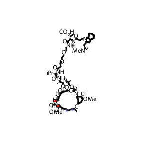 CNN(C)Cc1cc2ccccc2n1CCC(=O)N[C@@H](CCC(=O)O)C(=O)NCCOCCOCCC(=O)N[C@H](C(=O)N[C@@H](C)C(=O)N(C)[C@@H](C)C(=O)O[C@H]1CC(=O)N(C)c2cc(cc(OC)c2Cl)C/C(C)=C/C=C/[C@@H](OC)[C@@]2(O)C[C@H](OC(=O)N2)[C@@H](C)[C@@H]2O[C@@]12C)C(C)C